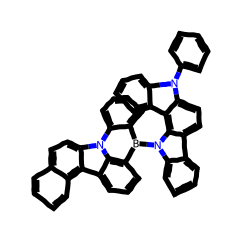 c1ccc(-n2c3ccccc3c3c4c(ccc32)c2ccccc2n4B2c3ccccc3-n3c4ccc5ccccc5c4c4cccc2c43)cc1